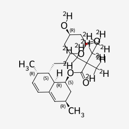 [2H]O[C@H]1CC(=O)OC(CC[C@@H]2[C@@H]3C(=C[C@H](C)C[C@@H]3OC(=O)C(C([2H])([2H])[2H])(C([2H])([2H])[2H])C([2H])([2H])C([2H])([2H])[2H])C=C[C@@H]2C)C1